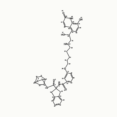 O=C(NC1(C(=O)OC2CN3CCC2CC3)Cc2ccccc2C1)c1cccc(OCCCCC[AsH]CC(O)c2ccc(O)c3[nH]c(=O)ccc23)c1